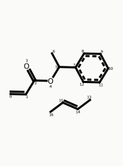 C=CC(=O)OC(C)c1ccccc1.CC=CC